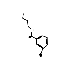 CCCCNC(=O)c1cccc(C#N)c1